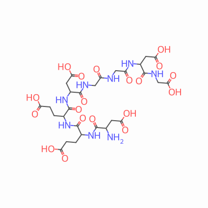 NC(CC(=O)O)C(=O)NC(CCC(=O)O)C(=O)NC(CCC(=O)O)C(=O)NC(CC(=O)O)C(=O)NCC(=O)NCC(=O)NC(CC(=O)O)C(=O)NCC(=O)O